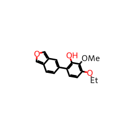 CCOc1ccc(-c2ccc3cocc3c2)c(O)c1OC